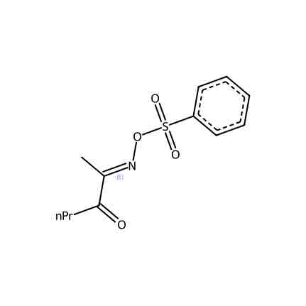 CCCC(=O)/C(C)=N/OS(=O)(=O)c1ccccc1